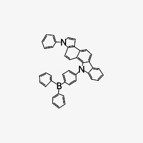 c1ccc(B(c2ccccc2)c2ccc(-n3c4ccccc4c4ccc5c6ccn(-c7ccccc7)c6ccc5c43)cc2)cc1